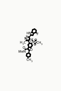 CNC(=O)c1c(-c2ccc(C)cc2)oc2cc(N(C)S(C)(=O)=O)c(-c3cc(-c4cc5c(F)cccc5[nH]4)nnc3C)cc12